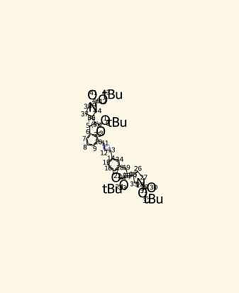 CC(C)(C)OC(=O)[C@@H](Cc1cccc(/C=C/Cc2cccc(C[C@H](C(=O)OC(C)(C)C)[C@H]3CCN(C(=O)OC(C)(C)C)C3)c2)c1)[C@H]1CCN(C(=O)OC(C)(C)C)C1